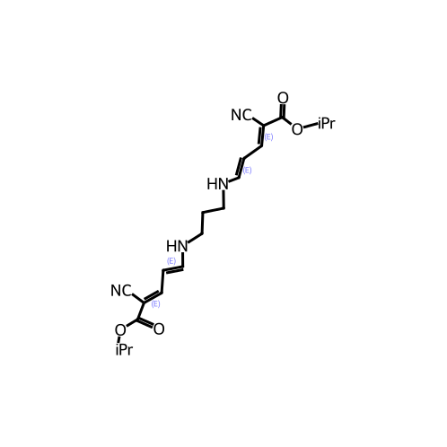 CC(C)OC(=O)/C(C#N)=C/C=C/NCCCN/C=C/C=C(\C#N)C(=O)OC(C)C